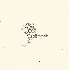 O=C1c2c(O)ccc(O)c2C(=O)c2c(NCCNCCO)ccc(NCCNCCO)c21.OC(CBr)C(O)C(O)C(O)CBr